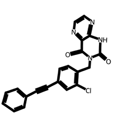 O=c1[nH]c2nccnc2c(=O)n1Cc1ccc(C#Cc2ccccc2)cc1Cl